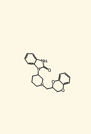 O=c1[nH]c2ccccc2n1C1CCCN(CC2COc3ccccc3O2)C1